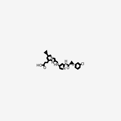 O=C(O)CCc1cc(C2CC2)cn2cc(CNc3ccnc(NC(=O)[C@H]4C[C@@H]4c4cccc(Cl)c4)c3)nc12